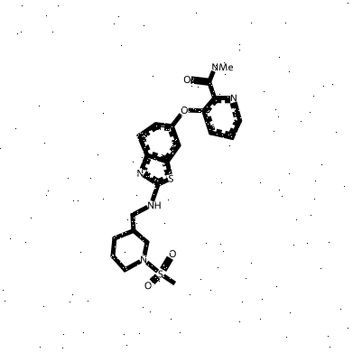 CNC(=O)c1ncccc1Oc1ccc2nc(NCC3CCCN(S(C)(=O)=O)C3)sc2c1